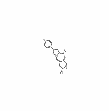 Fc1ccc(C2=CN3C=c4cc(Cl)ncc4=NC(Cl)=C3C2)cc1